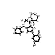 CC1([C@@H](N)c2nc(-c3cc(F)ccc3F)cn2Cc2ccccc2)CCOCC1